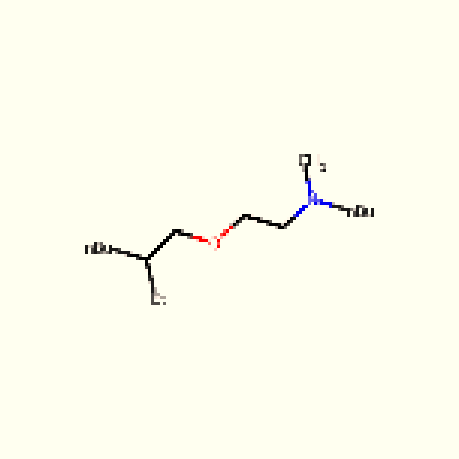 CCCCC(CC)COCCN(C)CCCC